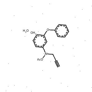 C#C[CH2][Al]([O]C(C)=O)[c]1cccc(Oc2ccccc2)c1.O.O